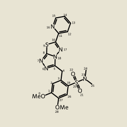 COc1cc(Cc2nnc3sc(-c4ccccn4)nn23)c(S(=O)(=O)N(C)C)cc1OC